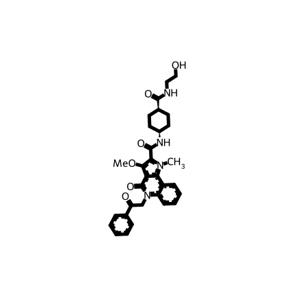 COc1c(C(=O)N[C@H]2CC[C@H](C(=O)NCCO)CC2)n(C)c2c1c(=O)n(CC(=O)c1ccccc1)c1ccccc21